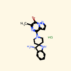 Cc1nc(N2CCC3(CC2)Nc2ccccc2[C@H]3N)c2ccnn2c1Br.Cl